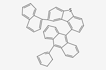 C1=CCCC(c2c3ccccc3c(-c3cccc4sc5ccc(-c6cccc7ccccc67)cc5c34)c3ccccc23)=C1